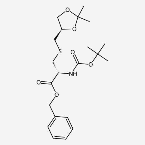 CC(C)(C)OC(=O)N[C@@H](CSC[C@H]1COC(C)(C)O1)C(=O)OCc1ccccc1